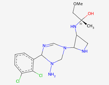 COC[C@](C)(O)NC1CNC1N1C=NC(c2cccc(Cl)c2Cl)N(N)C1